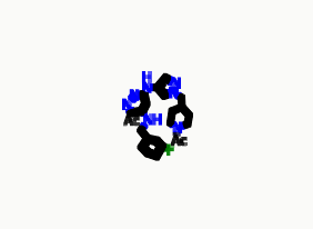 CC(=O)c1nnc(Nc2cnn(CC3CCN(C(C)=O)CC3)c2)cc1NCc1cccc(F)c1